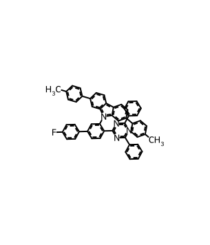 Cc1ccc(-c2ccc3c4ccc(-c5ccc(C)cc5)cc4n(-c4cc(-c5ccc(F)cc5)ccc4-c4nc(-c5ccccc5)nc(-c5ccccc5)n4)c3c2)cc1